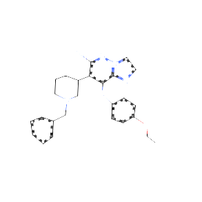 CCOc1ccc(Nc2c(C3CCCN(Cc4ccccc4)C3)c(N)nn3ccnc23)cc1